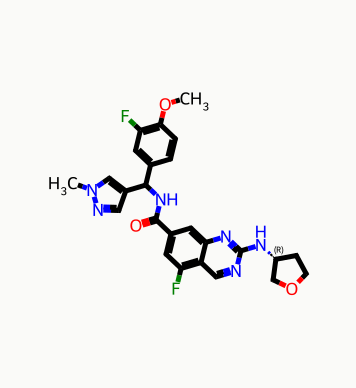 COc1ccc(C(NC(=O)c2cc(F)c3cnc(N[C@@H]4CCOC4)nc3c2)c2cnn(C)c2)cc1F